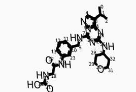 CC(C)c1cnn2c(NCc3cccc(NC(=O)CNC(=O)O)c3)nc(NC3CCOCC3)nc12